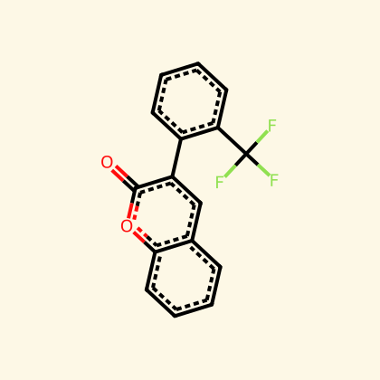 O=c1oc2ccccc2cc1-c1ccccc1C(F)(F)F